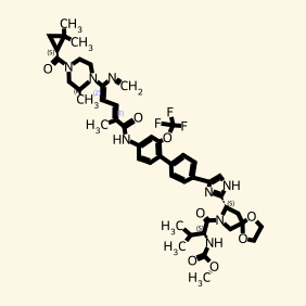 C=N/C(=C\C=C(/C)C(=O)Nc1ccc(-c2ccc(-c3c[nH]c([C@@H]4CC5(CN4C(=O)[C@@H](NC(=O)OC)C(C)C)OCCO5)n3)cc2)c(OC(F)(F)F)c1)N1CCN(C(=O)[C@H]2CC2(C)C)C[C@H]1C